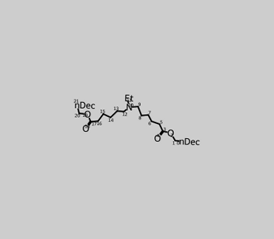 CCCCCCCCCCCOC(=O)CCCCCN(CC)CCCCCC(=O)OCCCCCCCCCCC